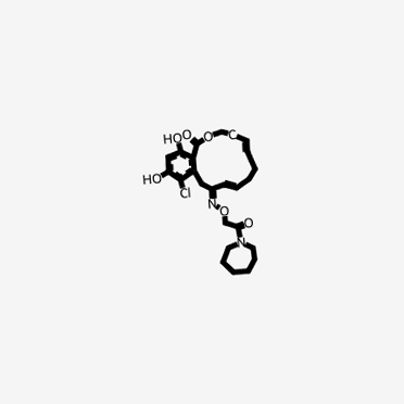 O=C1OCC/C=C/CC/C=C/C(=N\OCC(=O)N2CCCCCC2)Cc2c(Cl)c(O)cc(O)c21